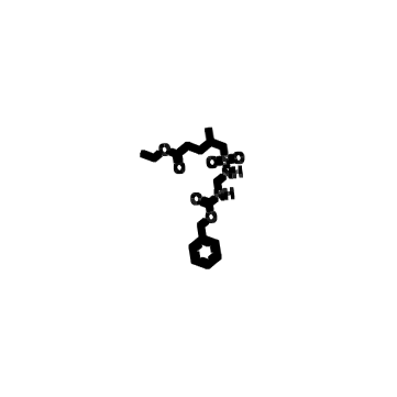 CCOC(=O)CCC(C)CS(=O)(=O)NCNC(=O)OCc1ccccc1